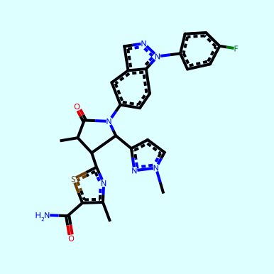 Cc1nc(C2C(C)C(=O)N(c3ccc4c(cnn4-c4ccc(F)cc4)c3)C2c2ccn(C)n2)sc1C(N)=O